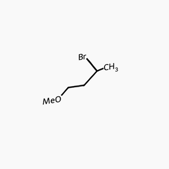 COCCC(C)Br